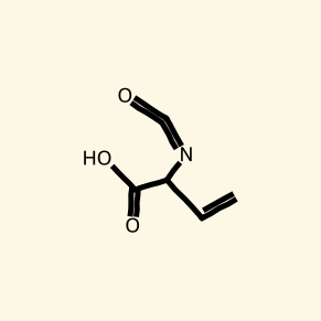 C=CC(N=C=O)C(=O)O